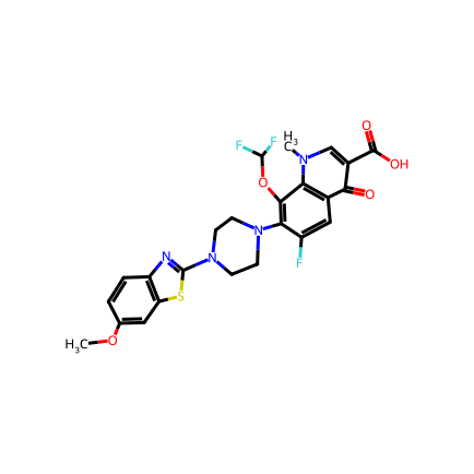 COc1ccc2nc(N3CCN(c4c(F)cc5c(=O)c(C(=O)O)cn(C)c5c4OC(F)F)CC3)sc2c1